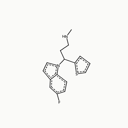 CNCCC(c1cccs1)n1ccc2cc(F)ccc21